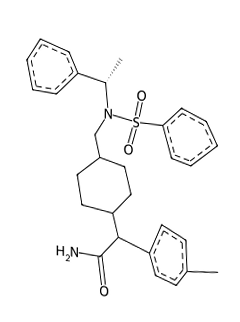 Cc1ccc(C(C(N)=O)C2CCC(CN([C@@H](C)c3ccccc3)S(=O)(=O)c3ccccc3)CC2)cc1